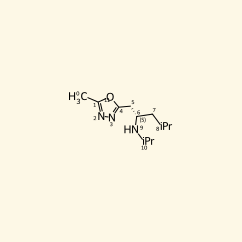 Cc1nnc(C[C@H](CC(C)C)NC(C)C)o1